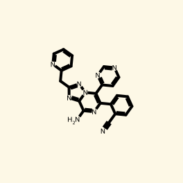 N#Cc1ccccc1-c1nc(N)c2nc(Cc3ccccn3)nn2c1-c1ccncn1